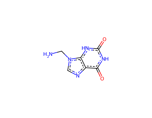 NCn1cnc2c(=O)[nH]c(=O)[nH]c21